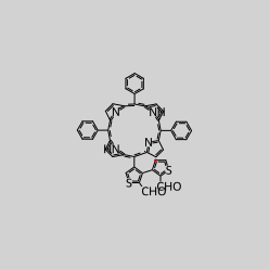 O=Cc1sccc1-c1c(-c2c3nc(c(-c4ccccc4)c4ccc([nH]4)c(-c4ccccc4)c4nc(c(-c5ccccc5)c5ccc2[nH]5)C=C4)C=C3)csc1C=O